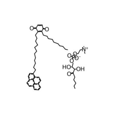 CCCCCC(=O)C(O)[C@@H](O)COP(=O)([O-])OCC[N+](C)(C)C.CCCCCCCCCCC1=C(CCCCCCCCCCCCc2ccc3ccc4cccc5ccc2c3c45)C(=O)C=CC1=O